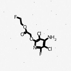 Nc1c(Cl)c(F)nc(OCC(=O)OCCF)c1Cl